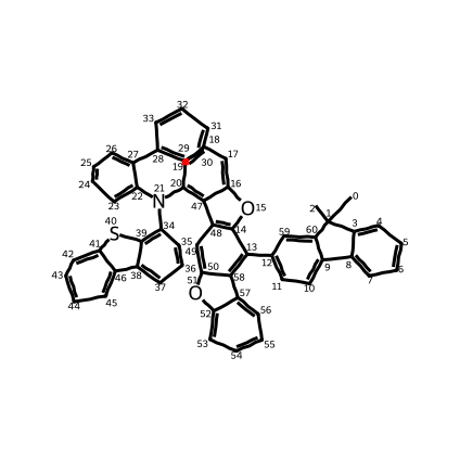 CC1(C)c2ccccc2-c2ccc(-c3c4oc5cccc(N(c6ccccc6-c6ccccc6)c6cccc7c6sc6ccccc67)c5c4cc4oc5ccccc5c34)cc21